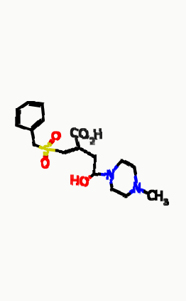 CN1CCN(C(O)CC(CS(=O)(=O)Cc2ccccc2)C(=O)O)CC1